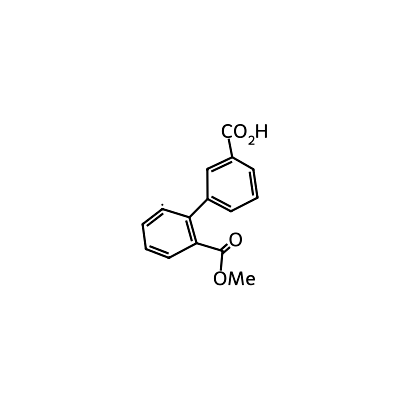 COC(=O)c1ccc[c]c1-c1cccc(C(=O)O)c1